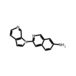 Nc1ccc2cc(-n3ccc4ccncc43)ncc2c1